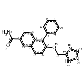 NC(=O)c1ccc2c(-c3ccccc3)c(OCc3nnn[nH]3)ccc2c1